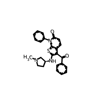 CN1CC[C@H](Nc2sc3c(ccc(=O)n3-c3ccccc3)c2C(=O)c2ccccc2)C1